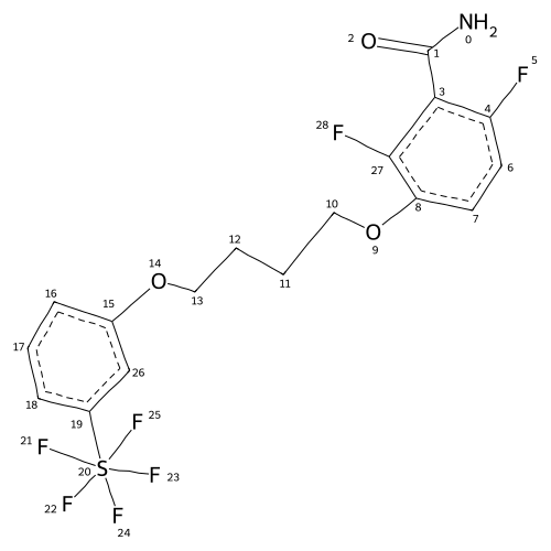 NC(=O)c1c(F)ccc(OCCCCOc2cccc(S(F)(F)(F)(F)F)c2)c1F